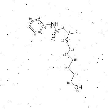 CC(CC(=O)Nc1ccccc1)SCCCCCCO